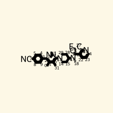 Cc1c(-c2ccc(C#N)cc2)nnc(N2CCC(N(C)C(=O)c3cccnc3C(F)(F)F)CC2)c1C